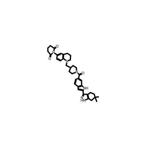 CC1(C)CCc2c(-c3cc4ccc(C(=O)N5CCC(CN6CCCc7cc(N8C(=O)CCCC8=O)ccc76)CC5)cc4[nH]3)n[nH]c2C1